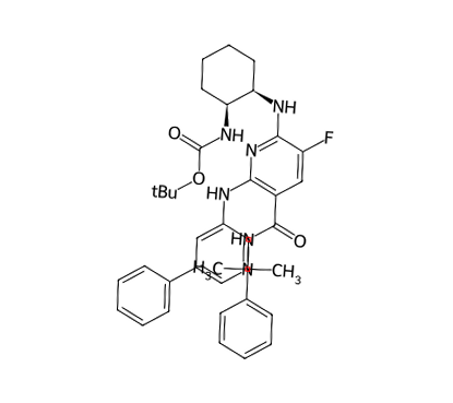 CC(C)(C)OC(=O)N[C@H]1CCCC[C@H]1Nc1nc(Nc2cncc(-c3ccccc3)c2)c(C(=O)NC(C)(C)c2ccccc2)cc1F